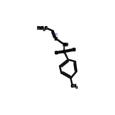 CCOC(=O)/C=N/NS(=O)(=O)c1ccc(C)cc1